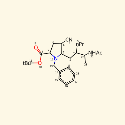 CCCC(CC1C(C#N)CC(C(=O)OC(C)(C)C)N1Cc1ccccc1)C(C)NC(C)=O